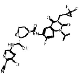 CC(C)n1c(=O)n(CC2CC2(F)F)c(=O)c2cc(NC(=O)N3CCO[C@@H](C(O)Nc4cnc(C#N)c(Cl)c4)C3)c(F)cc21